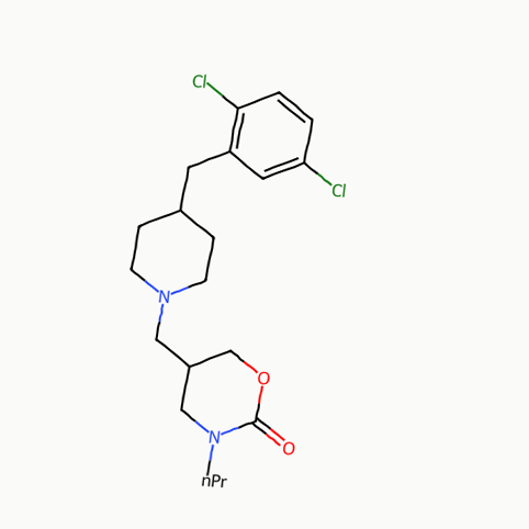 CCCN1CC(CN2CCC(Cc3cc(Cl)ccc3Cl)CC2)COC1=O